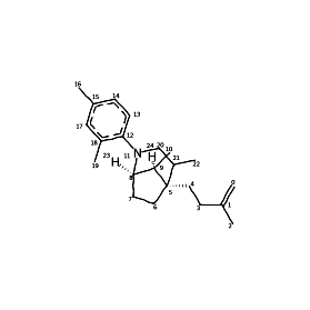 C=C(C)CC[C@]12CC[C@H]([C@H]1C)N(c1ccc(C)cc1C)CC2C